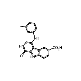 Cc1cccc(Nc2c[nH]c(=O)c3[nH]c4ccc(C(=O)O)cc4c23)c1